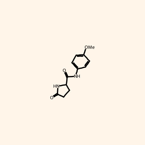 COc1ccc(NC(=O)C2CCC(=O)N2)cc1